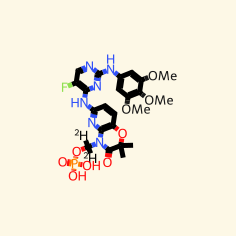 [2H]C([2H])(OP(=O)(O)O)N1C(=O)C(C)(C)Oc2ccc(Nc3nc(Nc4cc(OC)c(OC)c(OC)c4)ncc3F)nc21